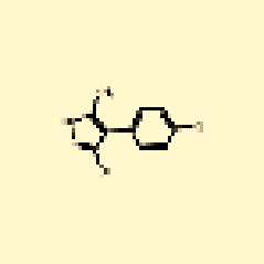 Nc1[nH]nc(O)c1-c1ccc(Cl)cc1